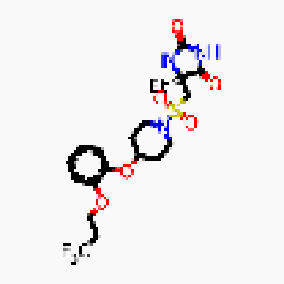 CC[C@]1(CS(=O)(=O)N2CCC(Oc3ccccc3OCCC(F)(F)F)CC2)NC(=O)NC1=O